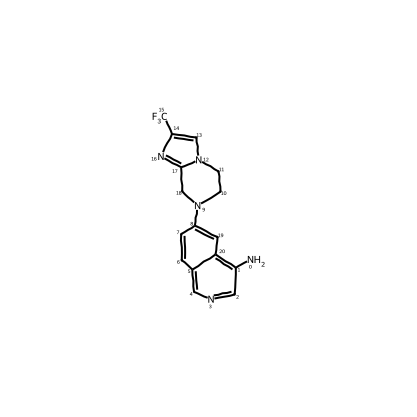 Nc1cncc2ccc(N3CCn4cc(C(F)(F)F)nc4C3)cc12